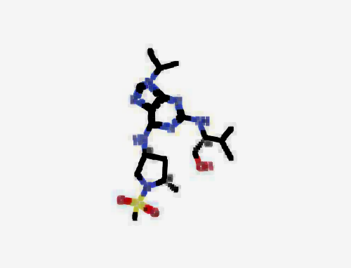 CC(C)[C@H](CO)Nc1nc(N[C@H]2C[C@H](C)N(S(C)(=O)=O)C2)c2ncn(C(C)C)c2n1